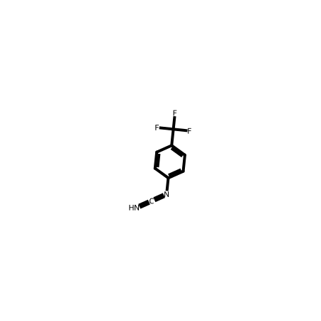 N=C=Nc1ccc(C(F)(F)F)cc1